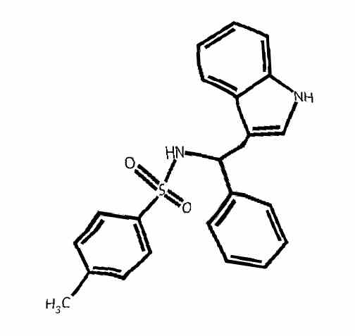 Cc1ccc(S(=O)(=O)NC(c2ccccc2)c2c[nH]c3ccccc23)cc1